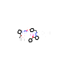 CC(C)CC(=O)c1ccccc1NCCOc1ccc(CC(Nc2ccccc2C(=O)c2ccccc2)C(=O)O)cc1